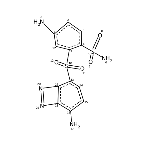 Nc1ccc(S(N)(=O)=O)c(S(=O)(=O)c2ccc(N)c3c2N=N3)c1